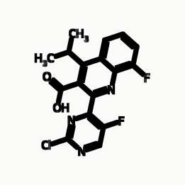 CC(C)c1c(C(=O)O)c(-c2nc(Cl)ncc2F)nc2c(F)cccc12